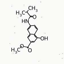 COC(=O)c1cc(O)c2ccc(NC(=O)C(C)C)cc2c1